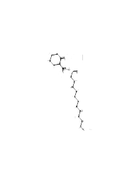 CCC(CCCCCCCCCCCC(C)C)OC(=O)C1CCCCC1C(=O)O